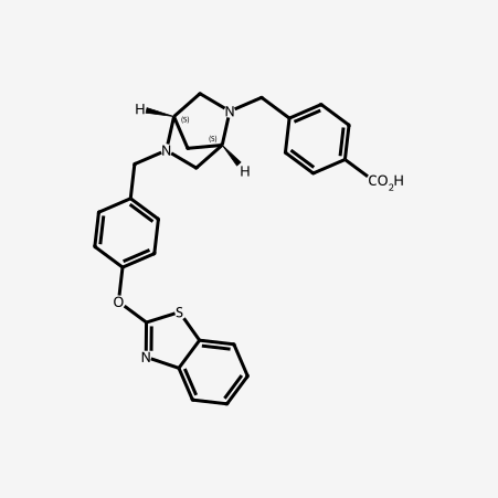 O=C(O)c1ccc(CN2C[C@@H]3C[C@H]2CN3Cc2ccc(Oc3nc4ccccc4s3)cc2)cc1